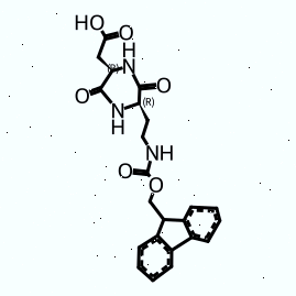 O=C(O)C[C@H]1NC(=O)[C@@H](CCNC(=O)OCC2c3ccccc3-c3ccccc32)NC1=O